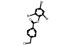 O=C(Oc1c(Br)cc(Br)cc1Br)c1ccc(CCl)cc1